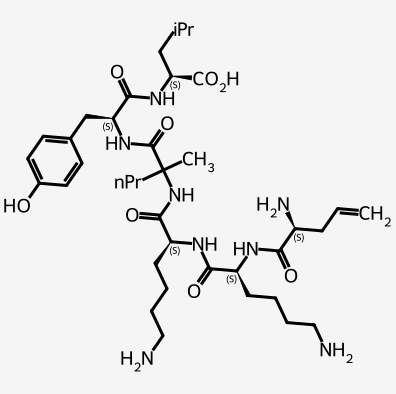 C=CC[C@H](N)C(=O)N[C@@H](CCCCN)C(=O)N[C@@H](CCCCN)C(=O)NC(C)(CCC)C(=O)N[C@@H](Cc1ccc(O)cc1)C(=O)N[C@@H](CC(C)C)C(=O)O